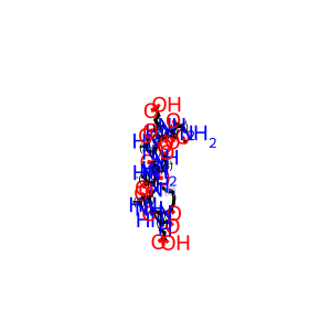 COC(=O)[C@@H](NC(=O)[C@@H](NC(=O)[C@@H](NC(=O)[C@@H](NC(=O)[C@H](C(=O)[C@H](C)N)N1C/C=C/CCC(=O)N[C@@H](N[C@@H](C=O)CCC(=O)O)C(=O)N[C@@H](C(=O)[C@H](C)N)C1=O)N[C@@H](C)C=O)N[C@@H](C)C=O)C(=O)[C@@H](N)CCC(=O)O)C(=O)[C@H](C)N